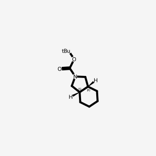 CC(C)(C)OC(=O)N1C[C@H]2CCCC[C@H]2C1